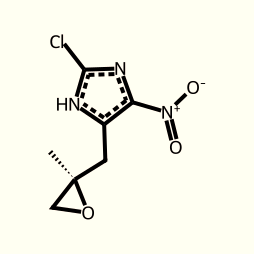 C[C@@]1(Cc2[nH]c(Cl)nc2[N+](=O)[O-])CO1